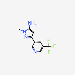 Cn1nc(-c2cncc(C(F)(F)F)c2)cc1N